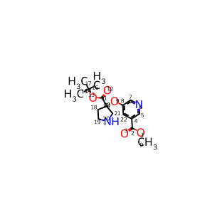 COC(=O)c1cncc(O[C@@]2(C(=O)OC(C)(C)C)CCNC2)c1